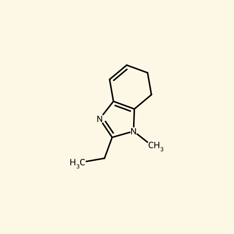 CCc1nc2c(n1C)CCC=C2